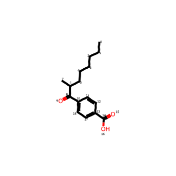 CCCCCCC(C)C(=O)c1ccc(C(=O)O)cc1